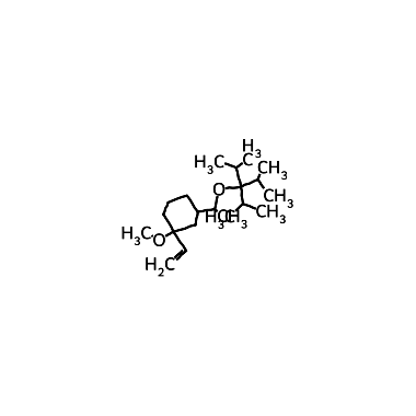 C=CC1(OC)CCCC(C(C)OC(C(C)C)(C(C)C)C(C)C)C1